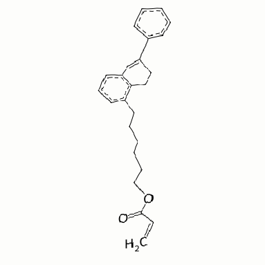 C=CC(=O)OCCCCCCc1cccc2c1CCC(c1ccccc1)=C2